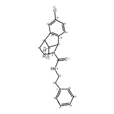 C[C@H]1C2CCN(C(=O)NCCc3ccccc3)C1c1ccc(Cl)cc12